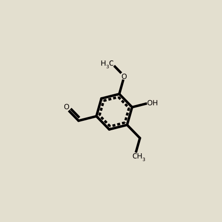 CCc1cc(C=O)cc(OC)c1O